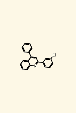 Clc1cccc(-c2cc(-c3ccccc3)c3ccccc3n2)c1